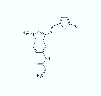 C=CC(=O)Nc1cnc2c(c1)c(C=Cc1ccc(Cl)s1)cn2C